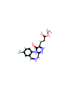 COC(=O)CCc1nnc2n(c1=O)-c1ccc(Cl)cc1C=NC2